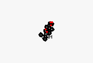 C1=CC2=C(c3ccccc3)N=C(c3cccc(C4(c5ccccc5)c5ccccc5C5(c6ccccc6)c6ccccc6-c6cccc4c65)c3)NC2C=C1